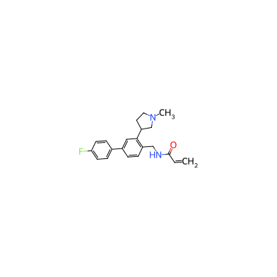 C=CC(=O)NCc1ccc(-c2ccc(F)cc2)cc1C1CCN(C)C1